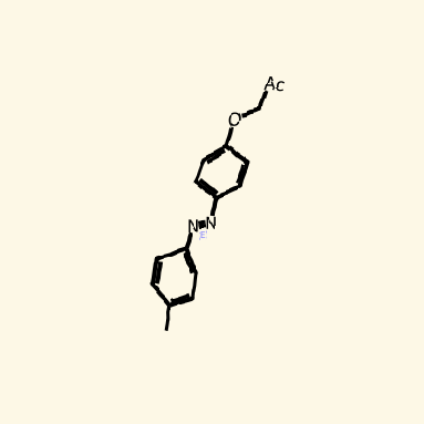 CC(=O)COc1ccc(/N=N/c2ccc(C)cc2)cc1